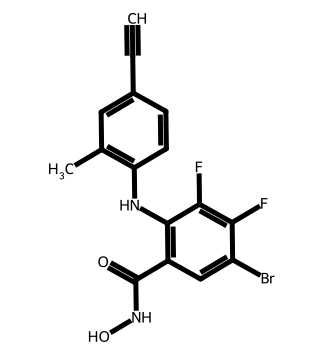 C#Cc1ccc(Nc2c(C(=O)NO)cc(Br)c(F)c2F)c(C)c1